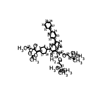 Bc1c(C2CCC(=C(OC(C)=O)C(=O)OCC)CC2)nc2c(-c3ccc(-c4ccccc4)nc3)cnn2c1N(COCC[Si](C)(C)C)COCC[Si](C)(C)C